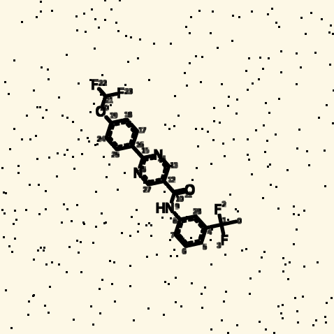 CC(F)(F)c1cccc(NC(=O)c2cnc(-c3ccc(OC(F)F)cc3)nc2)c1